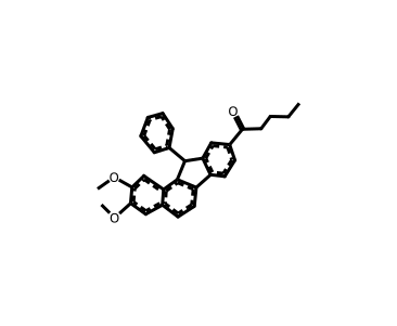 CCCCC(=O)c1ccc2c(c1)C(c1ccccc1)c1c-2ccc2cc(OC)c(OC)cc12